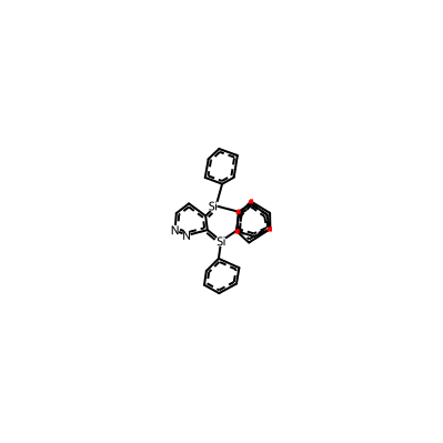 c1ccc([Si](c2ccccc2)=c2ccnnc2=[Si](c2ccccc2)c2ccccc2)cc1